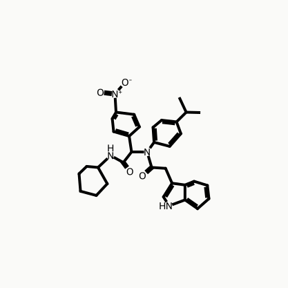 CC(C)c1ccc(N(C(=O)Cc2c[nH]c3ccccc23)C(C(=O)NC2CCCCC2)c2ccc([N+](=O)[O-])cc2)cc1